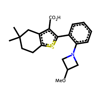 COC1CN(c2ccccc2-c2sc3c(c2C(=O)O)CC(C)(C)CC3)C1